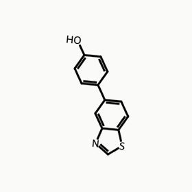 Oc1ccc(-c2ccc3scnc3c2)cc1